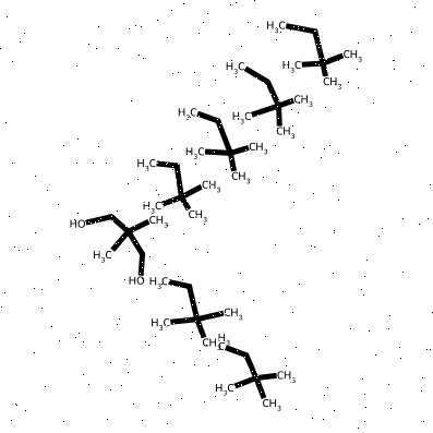 CC(C)(CO)CO.CCC(C)(C)C.CCC(C)(C)C.CCC(C)(C)C.CCC(C)(C)C.CCC(C)(C)C.CCC(C)(C)C